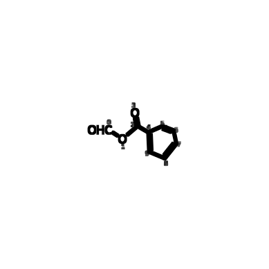 O=COC(=O)c1[c]cccc1